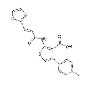 Cc1ccc(-c2csc(NC(=O)C=Cc3ccco3)c2C(=O)O)cc1